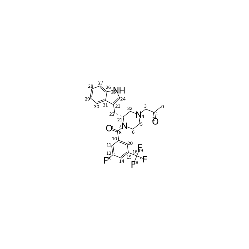 CC(=O)CN1CCN(C(=O)c2cc(F)cc(C(F)(F)F)c2)[C@H](Cc2c[nH]c3ccccc23)C1